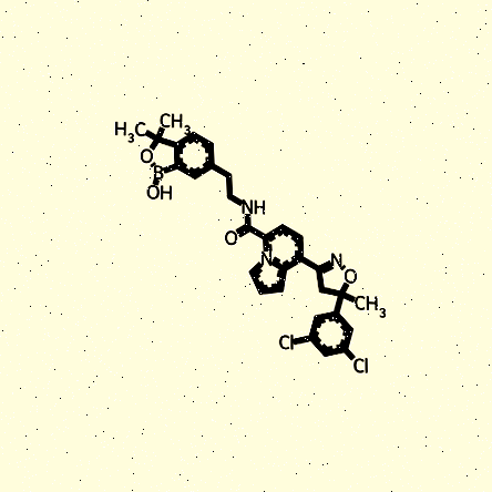 CC1(C)OB(O)c2cc(CCNC(=O)c3ccc(C4=NOC(C)(c5cc(Cl)cc(Cl)c5)C4)c4cccn34)ccc21